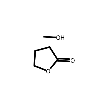 CO.O=C1CCCO1